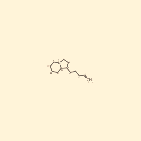 C=CCCCC1CCN2CCCCC12